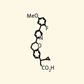 COc1ccc(F)c(-c2ccc(C3CCc4ccc(C(CC(=O)O)C5CC5)cc4O3)nc2)c1